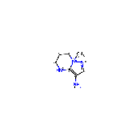 C[N+]12CCCNC1=C(N)C=N2